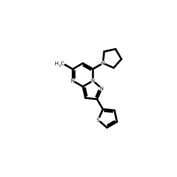 Cc1cc(N2CCCC2)n2nc(-c3cccs3)cc2n1